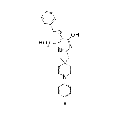 CC1(Cc2nc(O)c(OCc3ccccc3)c(C(=O)O)n2)CCN(c2ccc(F)cc2)CC1